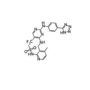 Cc1ccnc(NS(C)(=O)=O)c1CNc1nc(Nc2ccc(-c3nnn[nH]3)cc2)ncc1C(F)(F)F